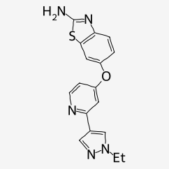 CCn1cc(-c2cc(Oc3ccc4nc(N)sc4c3)ccn2)cn1